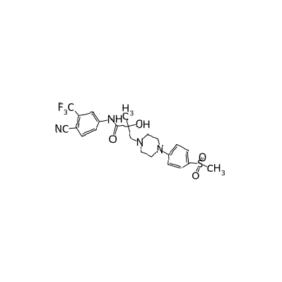 CC(O)(CN1CCN(c2ccc(S(C)(=O)=O)cc2)CC1)C(=O)Nc1ccc(C#N)c(C(F)(F)F)c1